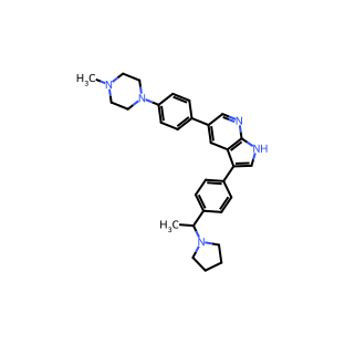 CC(c1ccc(-c2c[nH]c3ncc(-c4ccc(N5CCN(C)CC5)cc4)cc23)cc1)N1CCCC1